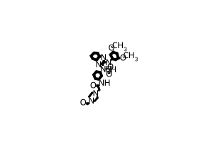 COc1cc(Nc2nc3ccccc3nc2N(c2cccc(NC(=O)CN3CCN(C=O)CC3)c2)[SH](=O)=O)cc(OC)c1